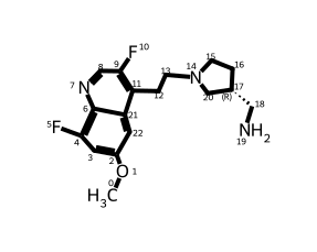 COc1cc(F)c2ncc(F)c(CCN3CC[C@H](CN)C3)c2c1